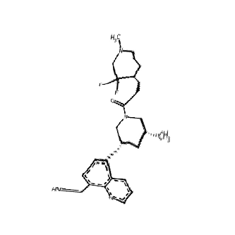 C[C@@H]1C[C@H](c2ccc(C=N)c3ncccc23)CN(C(=O)C[C@@H]2CCN(C)CC2(F)F)C1